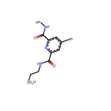 CCCNC(=O)c1cc(C(C)C)cc(C(=O)NCCS(=O)(=O)O)n1